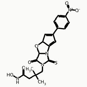 CC(C)(CC(=O)NO)CN1C(=O)C2OC3C=C(c4ccc([N+](=O)[O-])cc4)C=C3N2C1=S